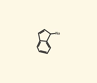 [Na][CH]1C=Cc2ccccc21